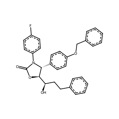 O=C1O[C@H]([C@H](O)CCc2ccccc2)[C@@H](c2ccc(OCc3ccccc3)cc2)N1c1ccc(F)cc1